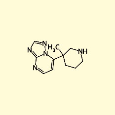 CC1(c2ccnc3ncnn23)CCCNC1